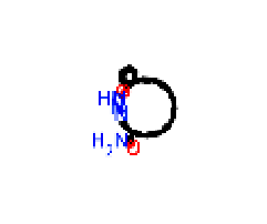 NC(=O)C1=C/C=C\C=C/C=C\C=C/C=C\C=C/c2ccccc2ON/N=N/C=C\1